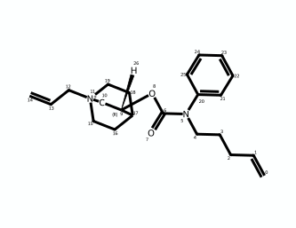 C=CCCCN(C(=O)O[C@H]1C[N+]2(CC=C)CCC1CC2)c1ccccc1